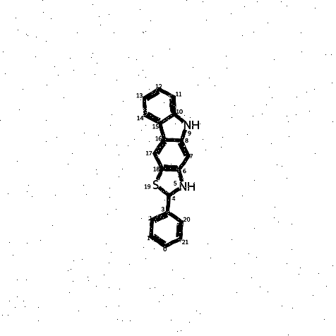 c1ccc(C2Nc3cc4[nH]c5ccccc5c4cc3S2)cc1